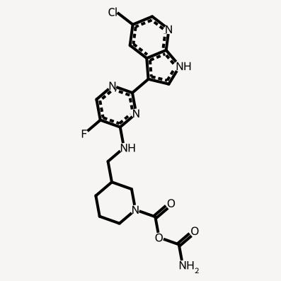 NC(=O)OC(=O)N1CCCC(CNc2nc(-c3c[nH]c4ncc(Cl)cc34)ncc2F)C1